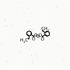 C=CC1=CCCC=C1C(=O)OOOC(=O)C1=CCCC=C1C=C